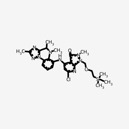 Cc1nc2n(n1)-c1cccc(Nc3cc(Cl)nc4c3c(=O)n(C)n4COCC[Si](C)(C)C)c1N(C)C2C